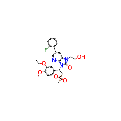 CCOc1cc(C(CS(C)(=O)=O)n2c(=O)n(CCO)c3cc(-c4ccccc4F)cnc32)ccc1OC